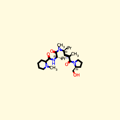 C/C(=C\[C@H](C(C)C)N(C)C(=O)[C@@H](NC(=O)C1CCCCN1C)C(C)C)C(=O)N1CCC[C@H]1CO